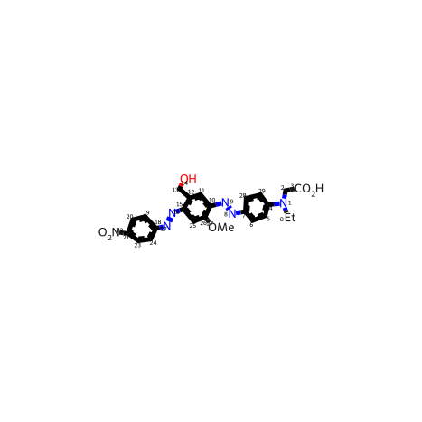 CCN(CC(=O)O)c1ccc(N=Nc2cc(CO)c(N=Nc3ccc([N+](=O)[O-])cc3)cc2OC)cc1